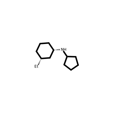 CC[C@@H]1CCC[C@H](NC2CCCC2)C1